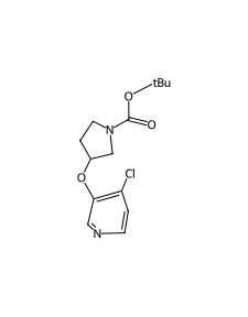 CC(C)(C)OC(=O)N1CCC(Oc2cnccc2Cl)C1